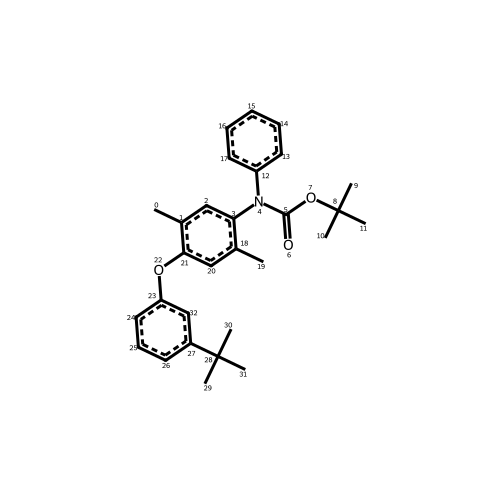 Cc1cc(N(C(=O)OC(C)(C)C)c2ccccc2)c(C)cc1Oc1cccc(C(C)(C)C)c1